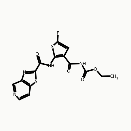 CCOC(=O)NC(=O)c1cc(F)sc1NC(=O)c1nc2cnccc2s1